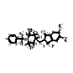 [2H]C1([2H])c2cc(OC)c(OC)cc2C(=O)C1CC1([2H])C([2H])([2H])C([2H])([2H])N(C([2H])([2H])c2ccccc2)C([2H])([2H])C1([2H])[2H]